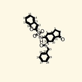 O=C1CCc2cc(NS(=O)(=O)c3cc4ccccc4o3)c([S+]([O-])Cc3ccccc3)cc21